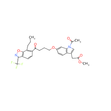 CCCc1c(C(=O)CCCOc2ccc3c(CC(=O)OC)cn(C(C)=O)c3c2)ccc2c(C(F)(F)F)noc12